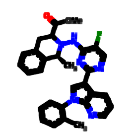 COC(=O)C1Cc2ccccc2[C@H](C)N1Nc1nc(-c2cn(-c3ccccc3C)c3ncccc23)ncc1F